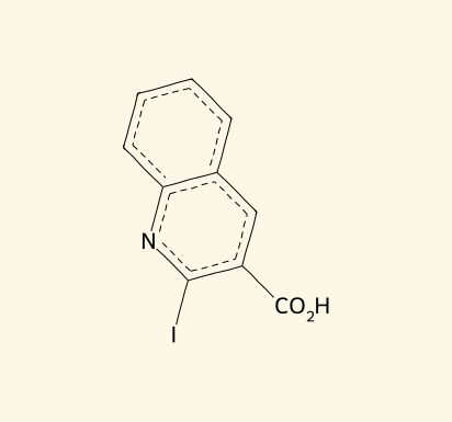 O=C(O)c1cc2ccccc2nc1I